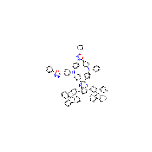 C1=CC2c3ccccc3C3(c4ccccc4-c4ccc(-c5ccc(-c6ccc7c(c6)C6(c8ccccc8-c8ccccc86)c6ccccc6-7)c6nc(-c7ccc(N(c8ccccc8)c8ccc(-c9nnc(-c%10ccccc%10)o9)cc8)cc7)c(-c7ccc(N(c8ccccc8)c8ccc(-c9nnc(-c%10ccccc%10)o9)cc8)cc7)nc56)cc43)C2C=C1